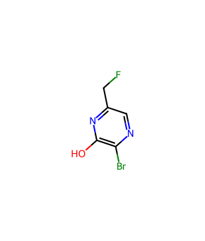 Oc1nc(CF)cnc1Br